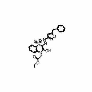 CCOC(=O)CN1C(O)=C(N=Nc2cc(Cc3ccccc3)on2)S(=O)(=O)c2ccccc21